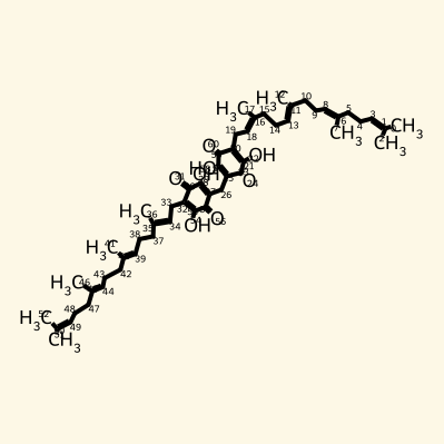 CC(C)=CCC/C(C)=C/CC/C(C)=C/CC/C(C)=C/CC1=C(O)C(=O)C(CC2=C(O)C(=O)C(C/C=C(\C)CC/C=C(\C)CC/C=C(\C)CCC=C(C)C)=C(O)C2=O)=C(O)C1=O